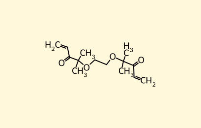 C=CC(=O)C(C)(C)OCCOC(C)(C)C(=O)C=C